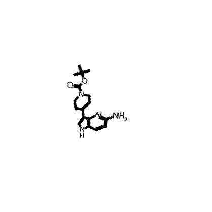 CC(C)(C)OC(=O)N1CC=C(c2c[nH]c3ccc(N)nc23)CC1